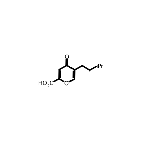 CC(C)CCc1coc(C(=O)O)cc1=O